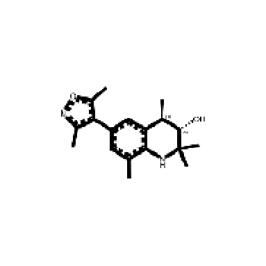 Cc1cc(-c2c(C)noc2C)cc2c1NC(C)(C)[C@@H](O)[C@@H]2C